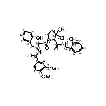 COc1ccc(C(=O)N[C@@H](Cc2ccccc2)[C@H](O)C(=O)N2CSC(C)(C)[C@H]2C(=O)NCc2ccccc2C)cc1OC